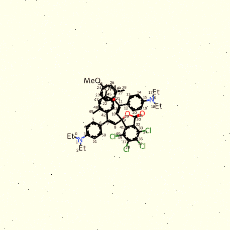 CCN(CC)c1ccc(C(=CC2(C=C(c3ccc(N(CC)CC)cc3)c3ccc(OC)cc3C)OC(=O)c3c(Cl)c(Cl)c(Cl)c(Cl)c32)c2ccc(OC)cc2C)cc1